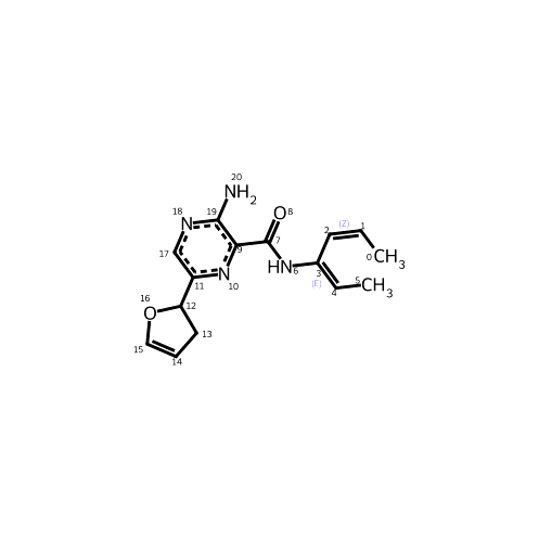 C/C=C\C(=C/C)NC(=O)c1nc(C2CC=CO2)cnc1N